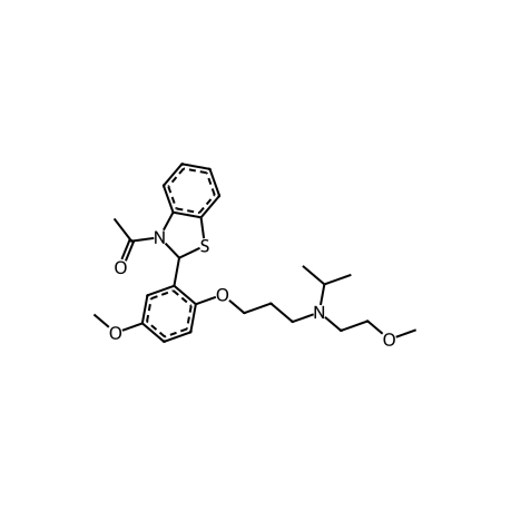 COCCN(CCCOc1ccc(OC)cc1C1Sc2ccccc2N1C(C)=O)C(C)C